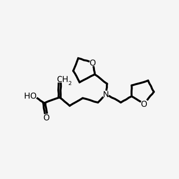 C=C(CCCN(CC1CCCO1)CC1CCCO1)C(=O)O